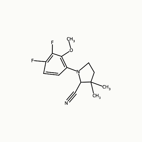 COc1c(N2CCC(C)(C)C2C#N)ccc(F)c1F